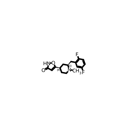 CN1CC[C@@H](c2cc(=O)[nH]o2)C[C@H]1Cc1cc(F)ccc1F